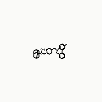 O[C@@H](CN1CCC(CN2Sc3ccccc3-c3cc(F)ccc32)CC1)C12CC3CC(CC(C3)C1)C2